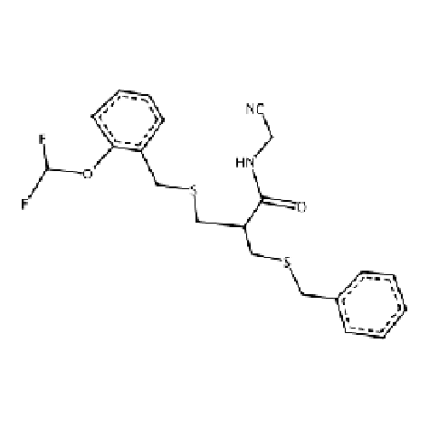 N#CCNC(=O)C(CSCc1ccccc1)CSCc1ccccc1OC(F)F